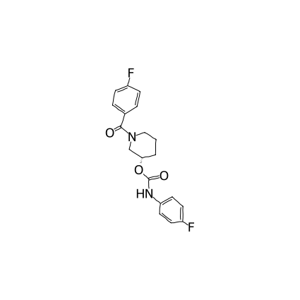 O=C(Nc1ccc(F)cc1)O[C@H]1CCCN(C(=O)c2ccc(F)cc2)C1